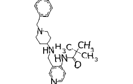 CC(C)(C)C(=O)Nc1ccncc1CNC1CCN(Cc2ccccc2)CC1